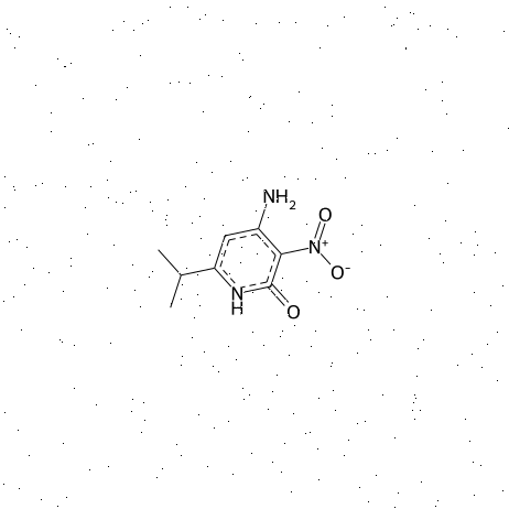 CC(C)c1cc(N)c([N+](=O)[O-])c(=O)[nH]1